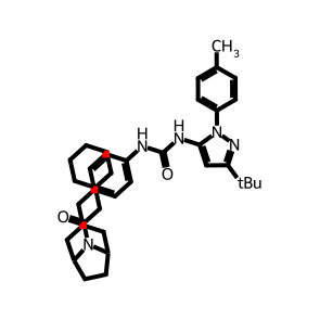 Cc1ccc(-n2nc(C(C)(C)C)cc2NC(=O)Nc2ccc(CC3CC4CCC(C3)N4C(=O)CC3CCCCC3)cc2)cc1